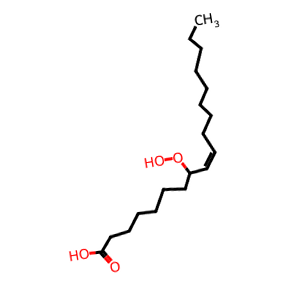 CCCCCCCC/C=C\C(CCCCCCC(=O)O)OO